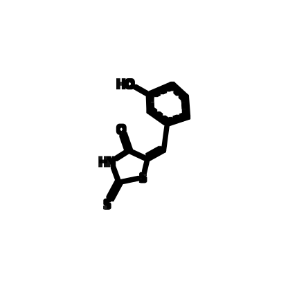 O=C1NC(=S)S/C1=C/c1cccc(O)c1